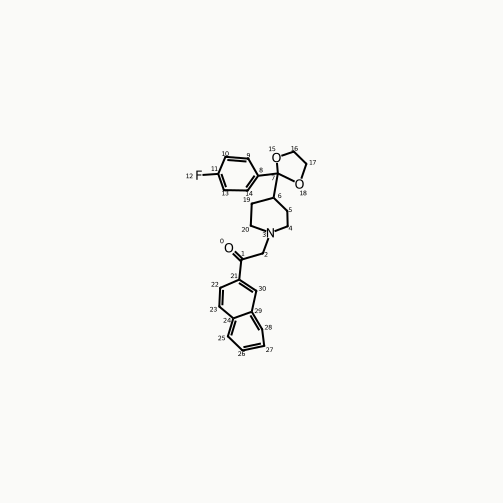 O=C(CN1CCC(C2(c3ccc(F)cc3)OCCO2)CC1)c1ccc2ccccc2c1